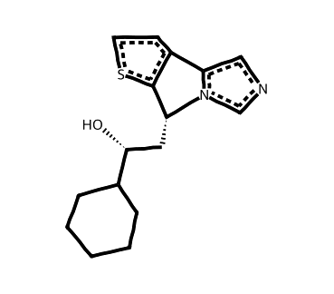 O[C@H](C[C@@H]1c2sccc2-c2cncn21)C1CCCCC1